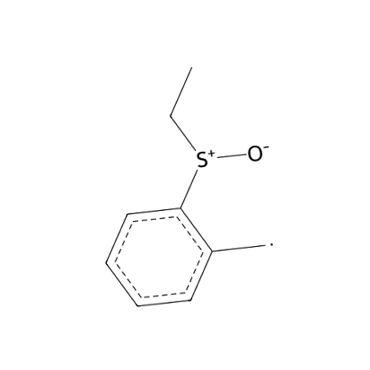 [CH2]c1ccccc1[S+]([O-])CC